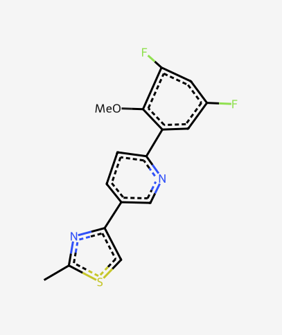 COc1c(F)cc(F)cc1-c1ccc(-c2csc(C)n2)cn1